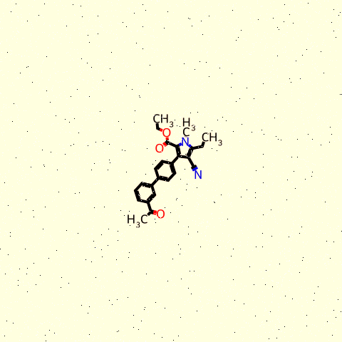 CCOC(=O)c1c(-c2ccc(-c3cccc(C(C)=O)c3)cc2)c(C#N)c(CC)n1C